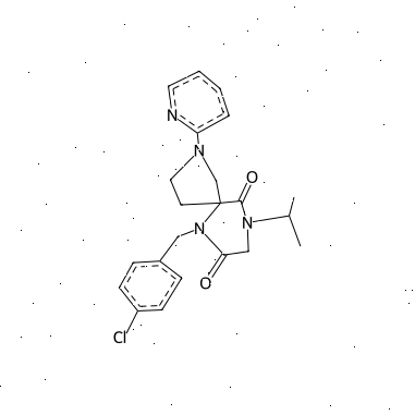 CC(C)N1CC(=O)N(Cc2ccc(Cl)cc2)C2(CCN(c3ccccn3)C2)C1=O